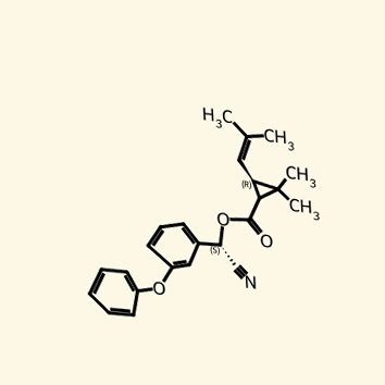 CC(C)=C[C@@H]1C(C(=O)O[C@H](C#N)c2cccc(Oc3ccccc3)c2)C1(C)C